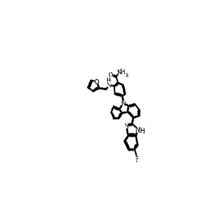 NC(=O)c1ccc(-n2c3ccccc3c3c(-c4nc5ccc(F)cc5[nH]4)cccc32)cc1NCc1ccco1